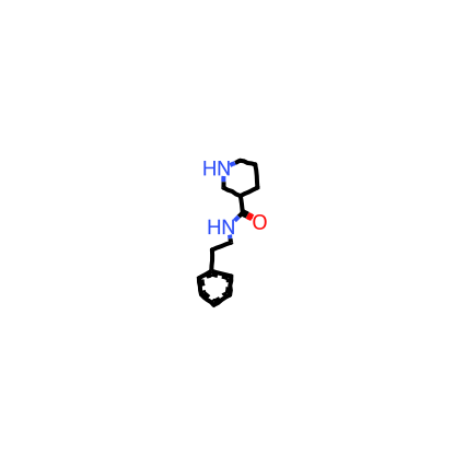 O=C(NCCc1ccccc1)C1CCCNC1